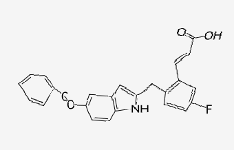 O=C(O)C=Cc1cc(F)ccc1Cc1cc2cc(OCc3ccccc3)ccc2[nH]1